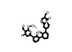 COc1nc(-c2cccc(-c3cccc(-c4ccn5c(=O)c(C=O)cnc5c4)c3Cl)c2Cl)cc(F)c1C=O